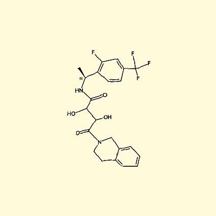 C[C@H](NC(=O)C(O)C(O)C(=O)N1CCc2ccccc2C1)c1ccc(C(F)(F)F)cc1F